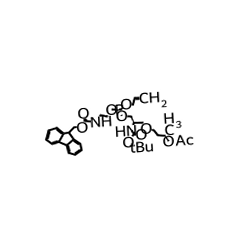 C=CCOP(OCCNC(=O)OCC1c2ccccc2-c2ccccc21)OC[C@@H](COCC[C@@H](C)OC(C)=O)NC(=O)OC(C)(C)C